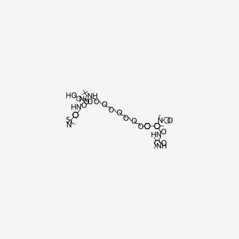 CCN(c1cc(-c2ccc(OCCOCCOCCOCCOCCOCCOCC(=O)NC(C(=O)N3C[C@H](O)C[C@H]3C(=O)NCc3ccc(-c4scnc4C)cc3)C(C)(C)C)cc2)cc(C(=O)NCc2c(C)cc(C)[nH]c2=O)c1C)C1CCOCC1